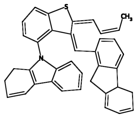 C/C=C\C=c1\sc2cccc(-n3c4c(c5ccccc53)C=CCC4)c2c1=Cc1cccc2c1CC1=CC=CCC12